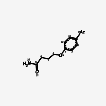 CC(=O)c1ccc(OCCCC(N)=O)cc1